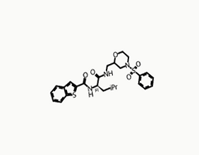 CC(C)C[C@@H](NC(=O)c1cc2ccccc2s1)C(=O)NCC1CN(S(=O)(=O)c2ccccc2)CCO1